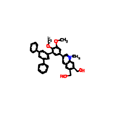 COc1cc(-c2cc3cc(CO)c(CO)cc3[n+](C)c2)cc(-c2cc(-c3ccccc3)cc(-c3ccccc3)c2)c1OC